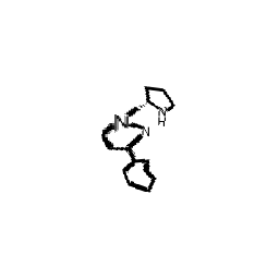 c1ccc(-c2ccn(C[C@@H]3CCCN3)n2)cc1